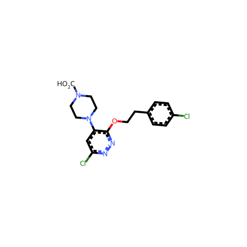 O=C(O)N1CCN(c2cc(Cl)nnc2OCCc2ccc(Cl)cc2)CC1